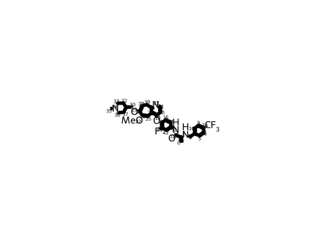 C=C(NCc1ccc(C(F)(F)F)cc1)C(=O)Nc1ccc(Oc2ccnc3c2C=C(OC)C(OCC2CCN(C)CC2)=CC3)c(F)c1